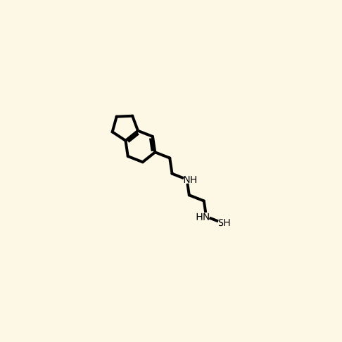 SNCCNCCC1=CC2=C(CCC2)CC1